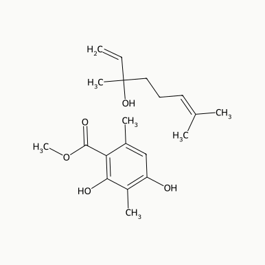 C=CC(C)(O)CCC=C(C)C.COC(=O)c1c(C)cc(O)c(C)c1O